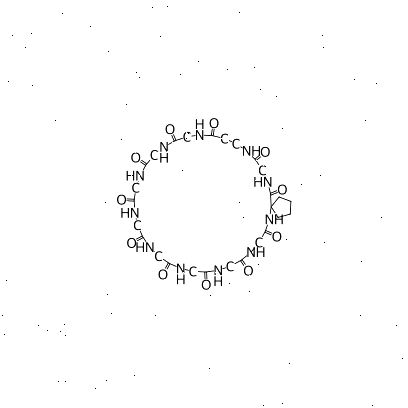 O=C1CCNC(=O)CNC(=O)C2(CCCC2)NC(=O)CNC(=O)CNC(=O)CNC(=O)CNC(=O)CNC(=O)CNC(=O)CNC(=O)CN1